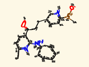 Cc1ccc(C(=O)CCc2ccc([S+](C)[O-])nc2)c(Nc2ccccc2)n1